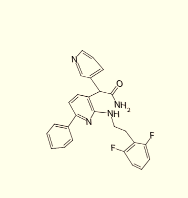 NC(=O)C(c1cccnc1)c1ccc(-c2ccccc2)nc1NCCc1c(F)cccc1F